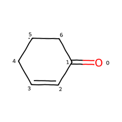 O=C1C=CC[CH]C1